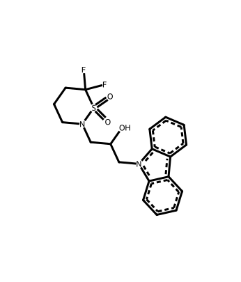 O=S1(=O)N(CC(O)Cn2c3ccccc3c3ccccc32)CCCC1(F)F